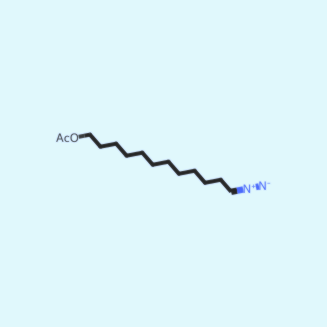 CC(=O)OCCCCCCCCCCCC=[N+]=[N-]